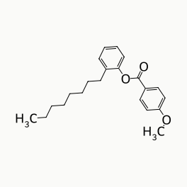 CCCCCCCCc1ccccc1OC(=O)c1ccc(OC)cc1